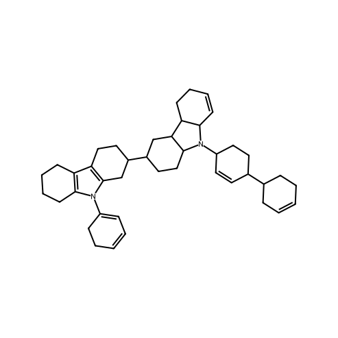 C1=CCCC(n2c3c(c4c2CC(C2CCC5C(C2)C2CCC=CC2N5C2C=CC(C5CC=CCC5)CC2)CC4)CCCC3)=C1